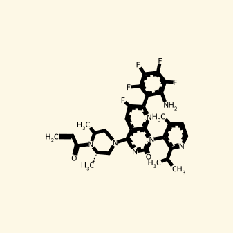 C=CC(=O)N1C(C)CN(c2nc(=O)n(-c3c(C)ccnc3C(C)C)c3nc(-c4c(N)c(F)c(F)c(F)c4F)c(F)cc23)C[C@@H]1C